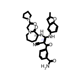 Cc1cc2cc(N/C(N[C@H]3CCCCN(CC(=O)N4CCCC4)C3=O)=C(/C#N)C(=O)c3cccc(C(N)=O)c3)ccc2o1